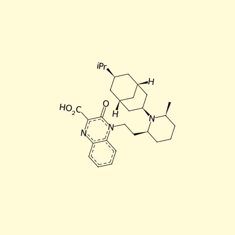 CC(C)[C@H]1C[C@H]2C[C@@H](C1)C[C@H](N1[C@H](CCn3c(=O)c(C(=O)O)nc4ccccc43)CCC[C@@H]1C)C2